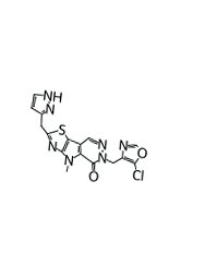 Cn1c2nc(Cc3cc[nH]n3)sc2c2cnn(Cc3ncoc3Cl)c(=O)c21